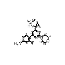 C[S+]([O-])NC1(c2cc(-c3cnc(N)cc3F)nc(N3CCOCC3)n2)CC1